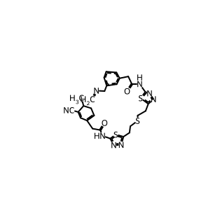 C=NCc1cccc(CC(=O)Nc2nnc(CCSCCc3nnc(NC(=O)CC4=CCC(C)C(C#N)=C4)s3)s2)c1